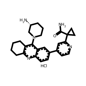 Cl.NC(=O)C1(c2cc(-c3ccc4nc5c(c(N6CCC[C@@H](N)C6)c4c3)CCCC5)ccn2)CC1